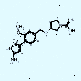 COc1cc(CO[C@@H]2CCN(C(=O)O)C2)ccc1-c1cc(N)n[nH]1